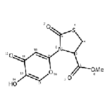 COC(=O)C1CSC(=O)N1c1cc(=O)c(O)co1